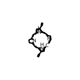 C#Cc1cc2cc3nc(cc4[nH]c(cc5nc(cc1[nH]2)C=C5)cc4C#C)CC3